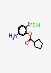 Cl.Nc1ccc(Br)c(OC(=O)C2CCCC2)c1